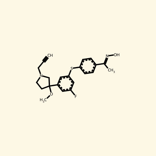 C#CCN1CCC(OC)(c2cc(F)cc(Sc3ccc(C(C)=NO)cc3)c2)C1